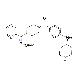 CO/N=C(/c1ccccn1)C1CCN(C(=O)c2ccc(NC3CCNCC3)cc2)CC1